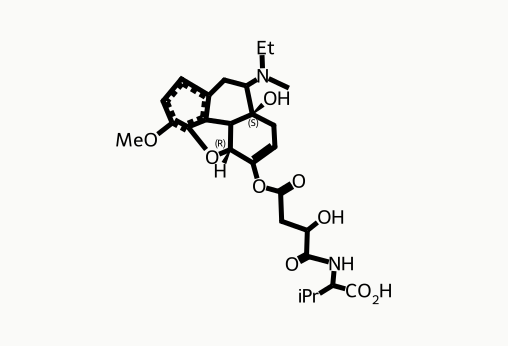 CCN(C)C1Cc2ccc(OC)c3c2C2[C@@H](O3)C(OC(=O)CC(O)C(=O)NC(C(=O)O)C(C)C)=CC[C@]21O